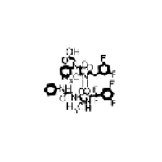 C[C@H](NC(=O)C(F)(F)c1cc(F)cc(F)c1)C(=O)N=CC(=O)Nc1ccccc1.C[C@H](NC(=O)Cc1cc(F)cc(F)c1)C(=O)N(CC(=O)O)c1ccccc1